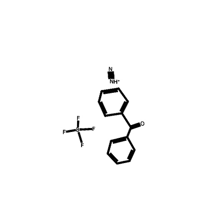 F[B-](F)(F)F.N#[NH+].O=C(c1ccccc1)c1ccccc1